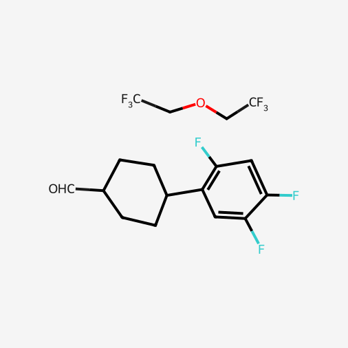 FC(F)(F)COCC(F)(F)F.O=CC1CCC(c2cc(F)c(F)cc2F)CC1